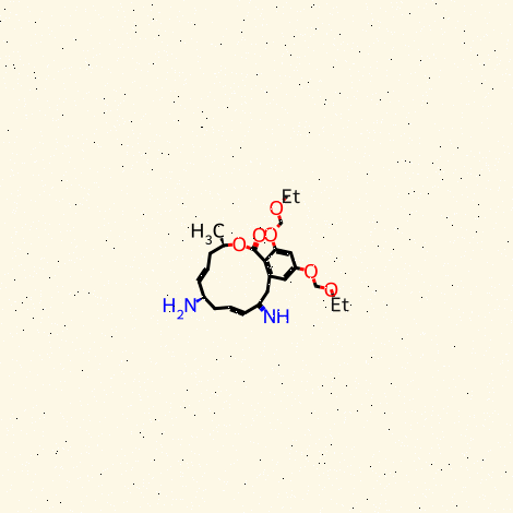 CCOCOc1cc2c(c(OCOCC)c1)C(=O)O[C@H](C)C/C=C/[C@H](N)C/C=C/C(=N)C2